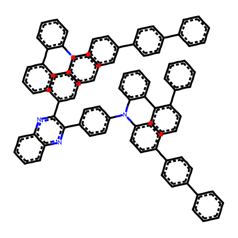 c1ccc(-c2ccc(-c3ccc(N(c4ccc(-c5nc6ccccc6nc5-c5ccc(N(c6ccc(-c7ccc(-c8ccccc8)cc7)cc6)c6ccccc6-c6ccccc6-c6ccccc6)cc5)cc4)c4ccccc4-c4ccccc4-c4ccccc4)cc3)cc2)cc1